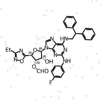 CCc1noc([C@H]2O[C@@H](n3cnc4c(NCC(c5ccccc5)c5ccccc5)nc(Nc5ccc(F)cc5)nc43)[C@H](O)[C@@H]2OC=O)n1